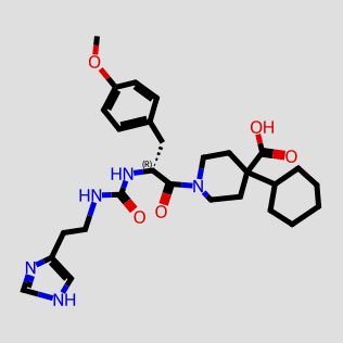 COc1ccc(C[C@@H](NC(=O)NCCc2c[nH]cn2)C(=O)N2CCC(C(=O)O)(C3CCCCC3)CC2)cc1